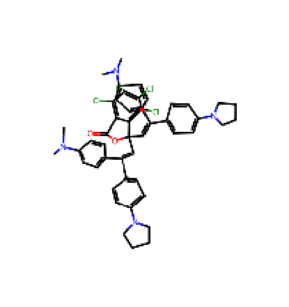 CN(C)c1ccc(/C(=C\C2(/C=C(\c3ccc(N(C)C)cc3)c3ccc(N4CCCC4)cc3)OC(=O)c3c(Cl)c(Cl)c(Cl)c(Cl)c32)c2ccc(N3CCCC3)cc2)cc1